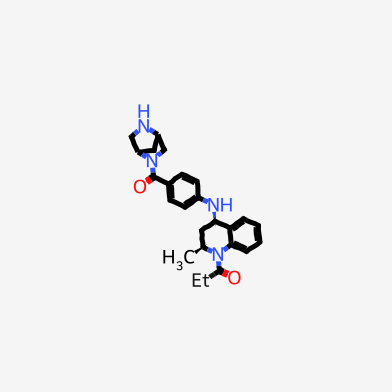 CCC(=O)N1c2ccccc2[C@H](Nc2ccc(C(=O)N3CC4CC3CN4)cc2)C[C@@H]1C